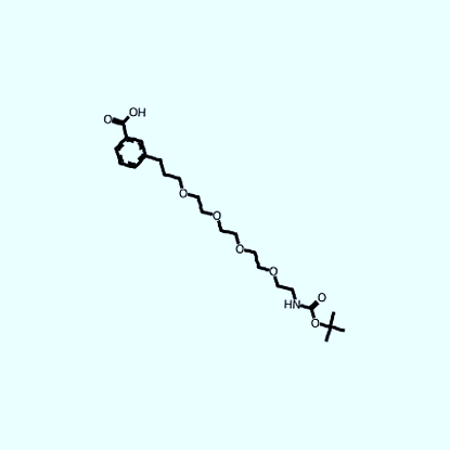 CC(C)(C)OC(=O)NCCOCCOCCOCCOCCCc1cccc(C(=O)O)c1